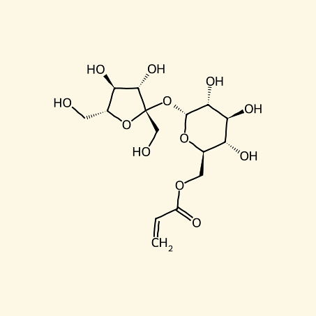 C=CC(=O)OC[C@H]1O[C@H](O[C@]2(CO)O[C@H](CO)[C@@H](O)[C@@H]2O)[C@H](O)[C@@H](O)[C@@H]1O